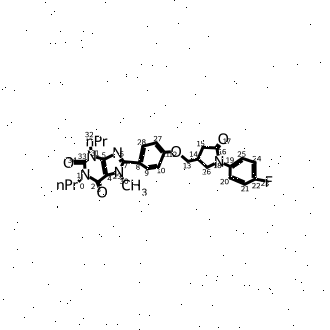 CCCn1c(=O)c2c(nc(-c3ccc(OCC4CC(=O)N(c5ccc(F)cc5)C4)cc3)n2C)n(CCC)c1=O